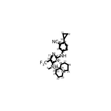 CN(c1nc(Nc2ccc(C3CC3)c(C#N)c2)ncc1C(F)(F)F)[C@H]1CCCN2CCCC[C@H]12